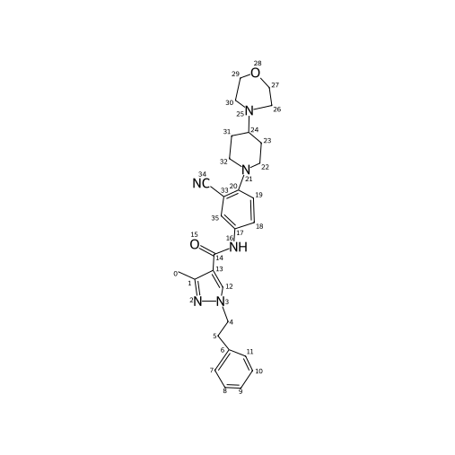 Cc1nn(CCc2ccccc2)cc1C(=O)Nc1ccc(N2CCC(N3CCOCC3)CC2)c(C#N)c1